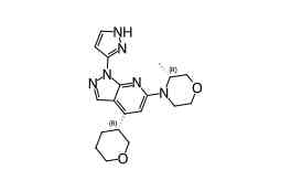 C[C@@H]1COCCN1c1cc([C@H]2CCCOC2)c2cnn(-c3cc[nH]n3)c2n1